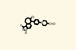 CCC1=C(c2ccc(N3CCC(C=O)CC3)cc2)c2ccc3[nH]nc(F)c3c2CCC1